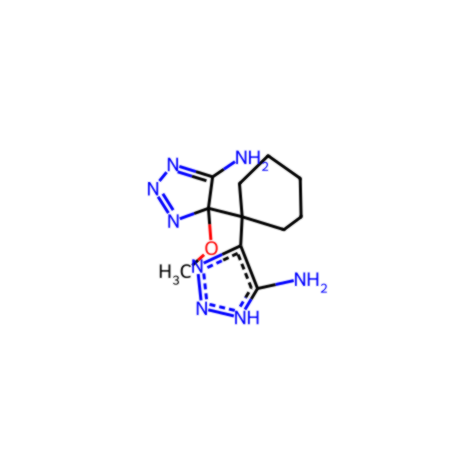 COC1(C2(c3nn[nH]c3N)CCCCC2)N=NN=C1N